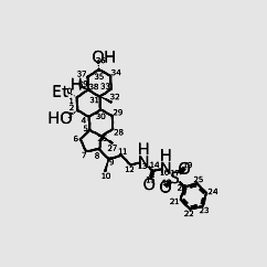 CC[C@H]1[C@@H](O)C2C3CCC([C@H](C)CCNC(=O)NS(=O)(=O)c4ccccc4)[C@@]3(C)CCC2[C@@]2(C)CC[C@@H](O)C[C@@H]12